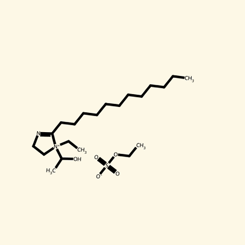 CCCCCCCCCCCCC1=NCC[N+]1(CC)C(C)O.CCOS(=O)(=O)[O-]